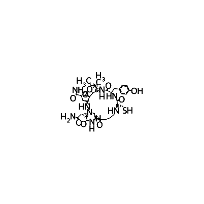 CC[C@H](C)[C@@H]1NC(=O)C(Cc2ccc(O)cc2)NC(=O)[C@H](CS)NCCCC(=O)[C@H]2CN(N[C@@H](CCC(N)=O)C(=O)C1=O)[C@@H](CC(N)=O)C(=O)N2